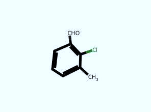 Cc1cccc(C=O)c1Cl